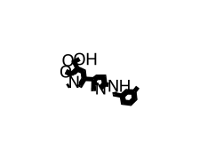 Cc1cccc(CNc2ccc(-c3cc(C(=O)O)c(=O)n(C)c3)cn2)c1